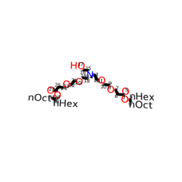 CCCCCCCCC(CCCCCC)OC(=O)CCOCCOCCN(CCO)CCOCCOCCC(=O)OC(CCCCCC)CCCCCCCC